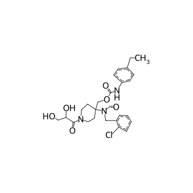 CCc1ccc(NC(=O)OCC2(N(C=O)Cc3ccccc3Cl)CCN(C(=O)C(O)CO)CC2)cc1